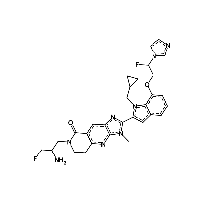 Cn1c(-c2cc3cccc(OCC(F)n4ccnc4)c3n2CC2CC2)nc2cc3c(nc21)CCN(CC(N)CF)C3=O